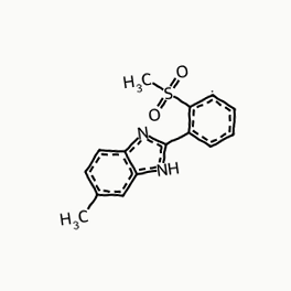 Cc1ccc2nc(-c3ccc[c]c3S(C)(=O)=O)[nH]c2c1